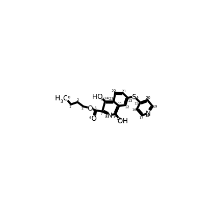 CCCCOC(=O)c1nc(O)c2cc(Sc3ccncc3)ccc2c1O